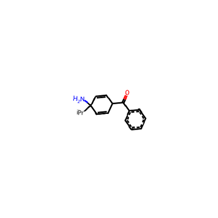 CC(C)C1(N)C=CC(C(=O)c2ccccc2)C=C1